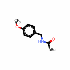 CCCCC(=O)NCc1ccc(OC(F)(F)F)cc1